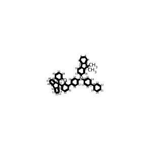 CC1(C)c2ccccc2-c2ccc(N(c3ccc(-c4ccccc4)cc3)c3ccc(-c4cccc5c4Oc4ccccc4C54c5ccccc5-c5ccccc54)cc3)cc21